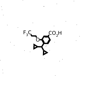 O=C(O)c1ccc(C(C2CC2)C2CC2)c(OCCC(F)(F)F)c1